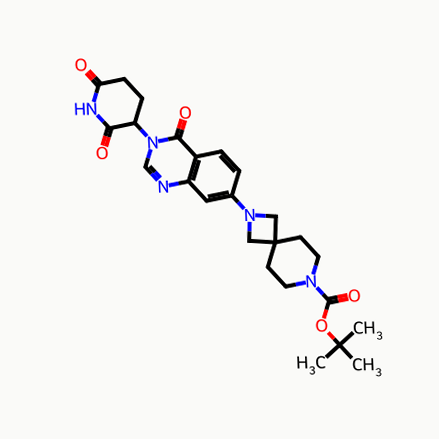 CC(C)(C)OC(=O)N1CCC2(CC1)CN(c1ccc3c(=O)n(C4CCC(=O)NC4=O)cnc3c1)C2